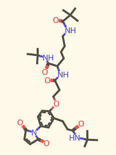 CC(C)(C)NC(=O)CCc1cc(N2C(=O)C=CC2=O)ccc1OCCC(=O)NC(CCCCNC(=O)C(C)(C)C)C(=O)NC(C)(C)C